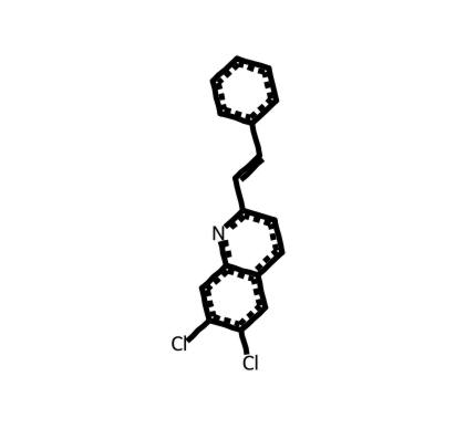 Clc1cc2ccc(C=Cc3ccccc3)nc2cc1Cl